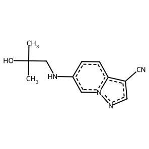 CC(C)(O)CNc1ccc2c(C#N)cnn2c1